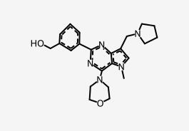 Cn1cc(CN2CCCC2)c2nc(-c3cccc(CO)c3)nc(N3CCOCC3)c21